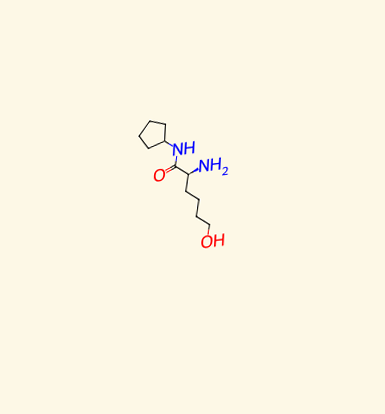 N[C@@H](CCCCO)C(=O)NC1CCCC1